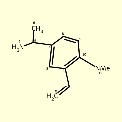 C=Cc1cc(C(C)N)ccc1NC